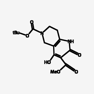 COC(=O)c1c(O)c2c([nH]c1=O)CCN(C(=O)OC(C)(C)C)C2